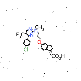 CN(CCCOc1ccc2c(c1)CC[C@H]2CC(=O)O)c1ncc(C(F)(F)F)c(-c2ccc(Cl)cc2)n1